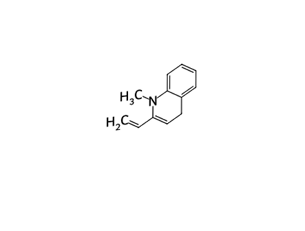 C=CC1=CCc2ccccc2N1C